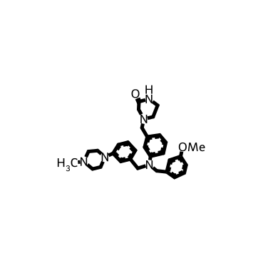 COc1cccc(CN(Cc2cccc(N3CCN(C)CC3)c2)c2cccc(CN3CCNC(=O)C3)c2)c1